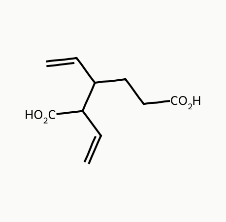 C=CC(CCC(=O)O)C(C=C)C(=O)O